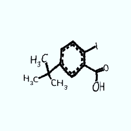 CC(C)(C)c1ccc(I)c(C(=O)O)c1